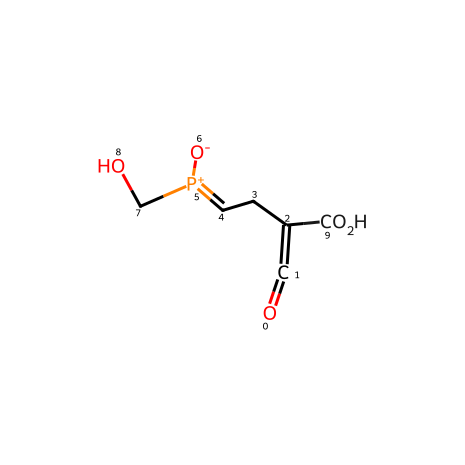 O=C=C(C/C=[P+](\[O-])CO)C(=O)O